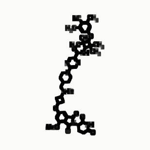 CCN(CC1CCN(c2cnc(C(=O)NC3C(C)(C)C(Oc4cc(C)c(C#N)c(C)c4)C3(C)C)cn2)CC1)C1CC(Oc2cc(OC)c3c(c2)C(=O)N([C@@H]2CCC(=O)NC2=O)C3=O)C1